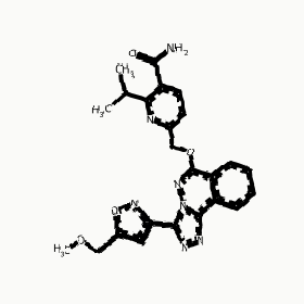 COCc1cc(-c2nnc3c4ccccc4c(OCc4ccc(C(N)=O)c(C(C)C)n4)nn23)no1